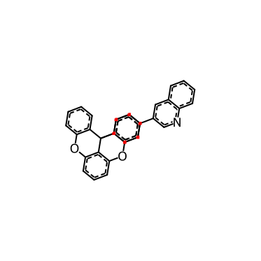 c1ccc2c(c1)Oc1cccc3c1C2(c1ccc(-c2cnc4ccccc4c2)cc1)c1ccccc1O3